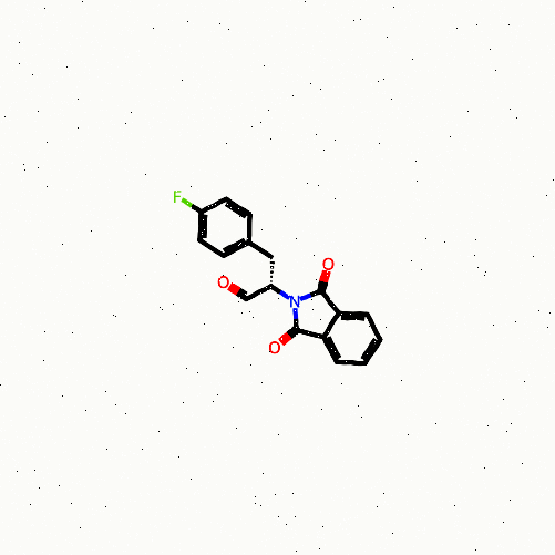 O=C[C@H](Cc1ccc(F)cc1)N1C(=O)c2ccccc2C1=O